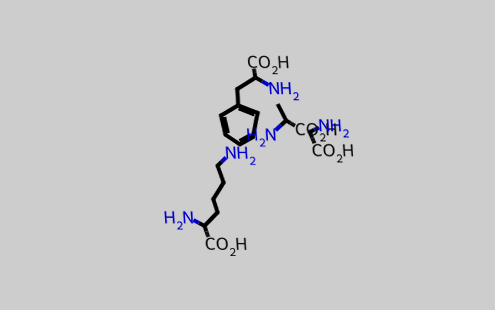 CC(N)C(=O)O.NC(Cc1ccccc1)C(=O)O.NCC(=O)O.NCCCCC(N)C(=O)O